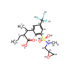 CCC(C(=O)O)C(C)c1cc(C(F)(F)F)cc(S(=O)(=O)N(C)CC2CO2)c1